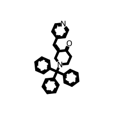 O=C1CCN(C(c2ccccc2)(c2ccccc2)c2ccccc2)CC1=Cc1ccncc1